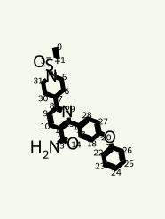 C=C[S+]([O-])N1CCC(c2ccc(C(N)=O)c(-c3ccc(Oc4ccccc4)cc3)n2)CC1